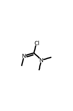 C/N=C(/Cl)N(C)C